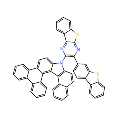 c1ccc2c(c1)ccc1c2c2c3c4ccccc4c4ccccc4c3ccc2n1-c1nc2c(nc1-c1ccc3c(c1)sc1ccccc13)sc1ccccc12